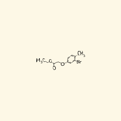 CCOC(=O)COc1ccc(C)c(Br)c1